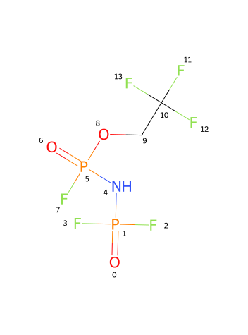 O=P(F)(F)NP(=O)(F)OCC(F)(F)F